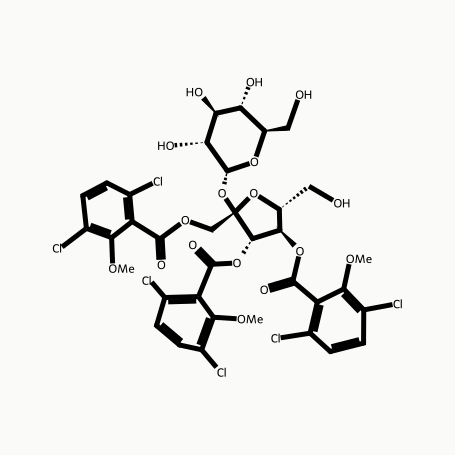 COc1c(Cl)ccc(Cl)c1C(=O)OC[C@@]1(O[C@H]2O[C@H](CO)[C@@H](O)[C@H](O)[C@H]2O)O[C@H](CO)[C@@H](OC(=O)c2c(Cl)ccc(Cl)c2OC)[C@@H]1OC(=O)c1c(Cl)ccc(Cl)c1OC